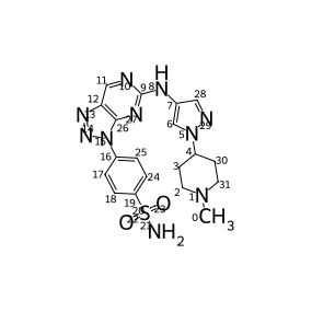 CN1CCC(n2cc(Nc3ncc4nnn(-c5ccc(S(N)(=O)=O)cc5)c4n3)cn2)CC1